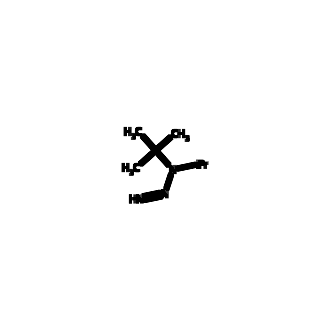 CC(C)N(N=N)C(C)(C)C